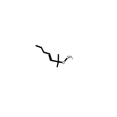 CCCC=CC(C)(C)O[SiH3]